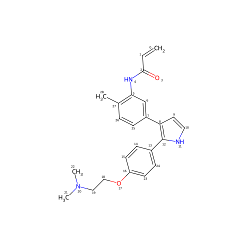 C=CC(=O)Nc1cc(-c2cc[nH]c2-c2ccc(OCCN(C)C)cc2)ccc1C